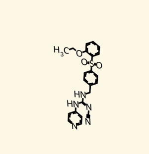 CCOc1ccccc1S(=O)(=O)c1ccc(CNC(=NC#N)Nc2ccncc2)cc1